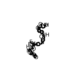 O=C1CCC(c2noc3ccc4cc(NC(=O)CN5CCN(CC6CCC(n7cc(NC(=O)c8cnn9ccc(N%10CC%11CC%10CO%11)nc89)c(C(F)F)n7)CC6)CC5)ccc4c23)C(=O)N1